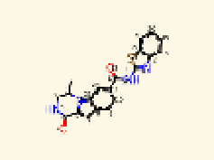 CC1CNC(=O)c2cc3ccc(C(=O)Nc4nc5ccccc5s4)cc3n21